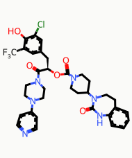 O=C(O[C@H](Cc1cc(Cl)c(O)c(C(F)(F)F)c1)C(=O)N1CCN(c2ccncc2)CC1)N1CCC(N2CCc3ccccc3NC2=O)CC1